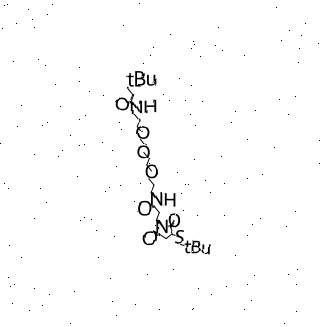 CC(C)(C)CCC(=O)NCCCOCCOCCOCCCNC(=O)CCN1C(=O)CC(SCC(C)(C)C)C1=O